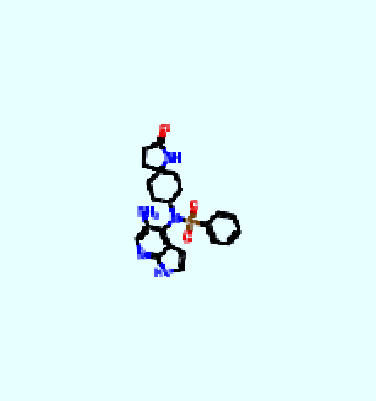 Nc1cnc2[nH]ccc2c1N(C1CCC2(CCC(=O)N2)CC1)S(=O)(=O)c1ccccc1